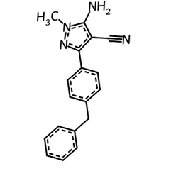 Cn1nc(-c2ccc(Cc3ccccc3)cc2)c(C#N)c1N